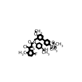 CN[C@H]1CC[C@H](N(Cc2cc(-c3ccc(N(C)S(C)(=O)=O)cc3)ccc2OC)C(=O)c2sc3c(F)ccc(C)c3c2Cl)CC1